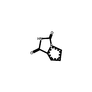 O=C1NC(=O)n2cccc21